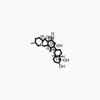 C[C@H]1CC[C@@H]2N(C1)C[C@@H]1[C@](O)([C@@H](O)C[C@@]3(O)[C@@H]4CC[C@@H]5[C@]6(O)O[C@@]4(C[C@@]13O)[C@@]5(C)CC[C@@H]6O)[C@]2(C)O